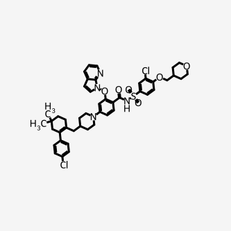 CC1(C)CCC(CC2CCN(c3ccc(C(=O)NS(=O)(=O)c4ccc(OCC5CCOCC5)c(Cl)c4)c(On4ccc5cccnc54)c3)CC2)=C(c2ccc(Cl)cc2)C1